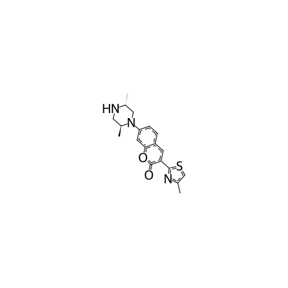 Cc1csc(-c2cc3ccc(N4C[C@@H](C)NC[C@@H]4C)cc3oc2=O)n1